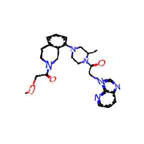 COCC(=O)N1CCc2cccc(N3CCN(C(=O)Cn4cnc5cccnc54)C(C)C3)c2C1